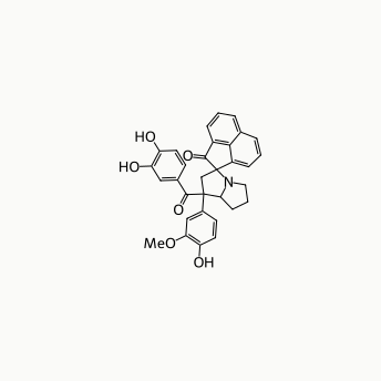 COc1cc(C2(C(=O)c3ccc(O)c(O)c3)CC3(C(=O)c4cccc5cccc3c45)N3CCCC32)ccc1O